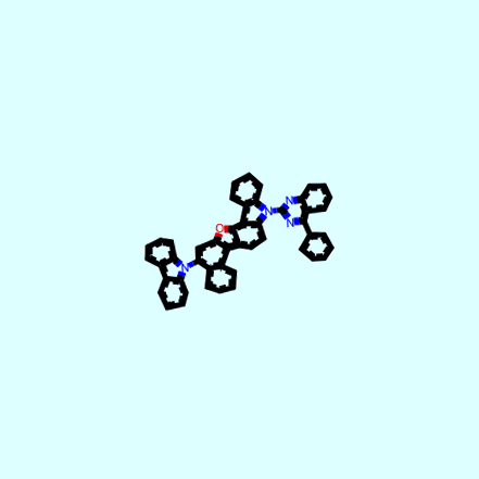 c1ccc(-c2nc(-n3c4ccccc4c4c5oc6cc(-n7c8ccccc8c8ccccc87)c7ccccc7c6c5ccc43)nc3ccccc23)cc1